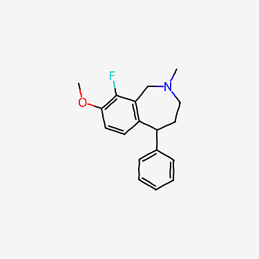 COc1ccc2c(c1F)CN(C)CCC2c1ccccc1